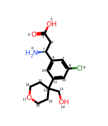 N[C@@H](CC(=O)O)c1cc(Cl)cc(C2(CO)CCOCC2)c1